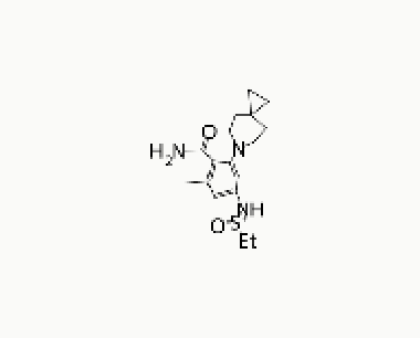 CC[S+]([O-])Nc1cc(C)c(C(N)=O)c(N2CCC3(CC2)CC3)c1